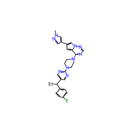 CCC(c1ccc(F)cc1)c1cnc(N2CCN(c3ncnn4cc(-c5cnn(C)c5)cc34)CC2)nc1